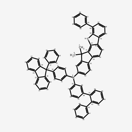 CC1(C)c2cc(N(c3ccc(C4(c5ccccc5)c5ccccc5-c5ccccc54)cc3)c3cccc(-c4ccccc4-c4ccccc4)c3)ccc2-c2ccc3c(sc4c(-c5ccccc5)cccc43)c21